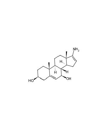 C[C@]12CC[C@H](O)CC1=C[C@H](O)[C@@H]1[C@@H]2CC[C@]2(C)C(N)=CC[C@@H]12